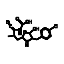 CC(CC1NC(Cc2ccc(Cl)cc2)C(O)O1)C(=C=O)NC(=O)O